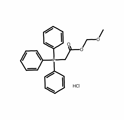 COCOC(=O)C[P](c1ccccc1)(c1ccccc1)c1ccccc1.Cl